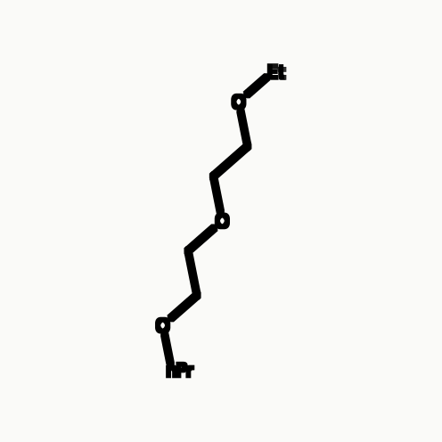 CCCOCCOCCOCC